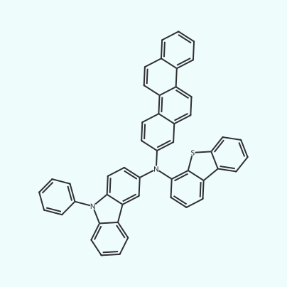 c1ccc(-n2c3ccccc3c3cc(N(c4ccc5c(ccc6c7ccccc7ccc56)c4)c4cccc5c4sc4ccccc45)ccc32)cc1